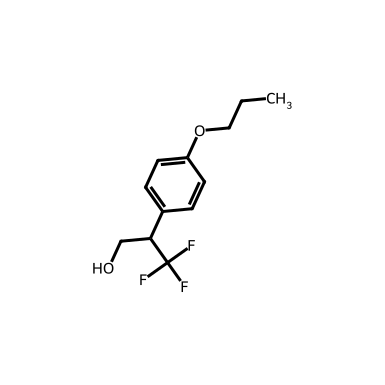 CCCOc1ccc(C(CO)C(F)(F)F)cc1